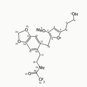 COc1cc(CCCO)oc1Cc1cc2c(cc1CCNC(=O)C(F)(F)F)OCO2